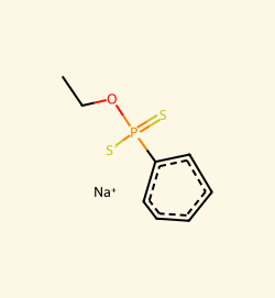 CCOP(=S)([S-])c1ccccc1.[Na+]